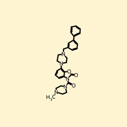 CN1CCN(C(=O)n2c(=O)oc3c(N4CCN(Cc5cccc(-c6ccccc6)c5)CC4)cccc32)CC1